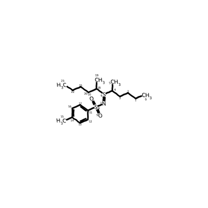 CCCCC(C)S(=NS(=O)(=O)c1ccc(C)cc1)C(C)CCCC